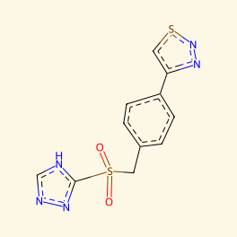 O=S(=O)(Cc1ccc(-c2csnn2)cc1)c1nnc[nH]1